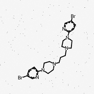 Brc1ccc(N2CCN(CCCN3CCN(c4ccc(Br)cn4)CC3)CC2)nc1